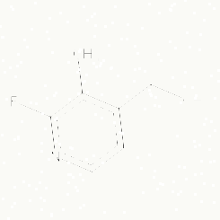 CCc1ccnc(F)c1C